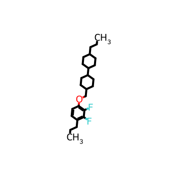 CCCc1ccc(OCC2CCC(C3CCC(CCC)CC3)CC2)c(F)c1F